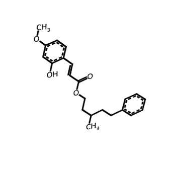 COc1ccc(C=CC(=O)OCCC(C)CCc2ccccc2)c(O)c1